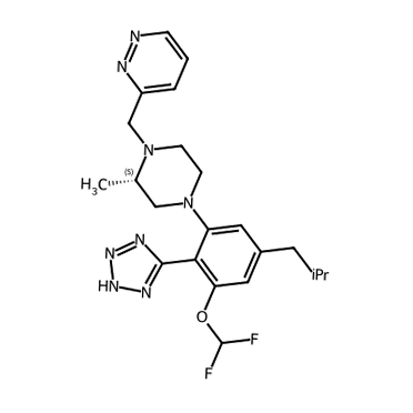 CC(C)Cc1cc(OC(F)F)c(-c2nn[nH]n2)c(N2CCN(Cc3cccnn3)[C@@H](C)C2)c1